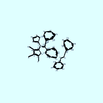 CC1=C(C)C(C)=[C]([Zr]([C]2=CC=CC2)=[C](c2ccccc2)c2ccccc2)C1.c1ccc(CCc2ccccc2)cc1